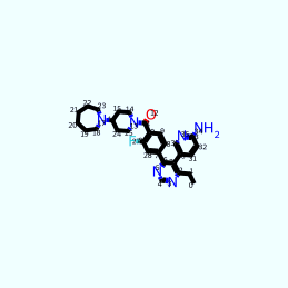 CCc1ncnc(-c2ccc(C(=O)N3CCC(N4CCCCCC4)CC3)c(F)c2)c1-c1ccc(N)nc1